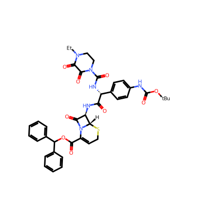 CCN1CCN(C(=O)N[C@@H](C(=O)N[C@@H]2C(=O)N3C(C(=O)OC(c4ccccc4)c4ccccc4)=CCS[C@@H]23)c2ccc(NC(=O)OC(C)(C)C)cc2)C(=O)C1=O